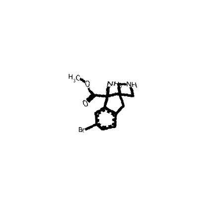 COC(=O)C1(N)c2cc(Br)ccc2CC12CNC2